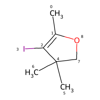 CC1=C(I)C(C)(C)CO1